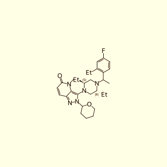 CCc1cc(F)ccc1C(C)N1C[C@H](CC)N(c2c3c(ccc(=O)n3C)nn2C2CCCCO2)C[C@H]1CC